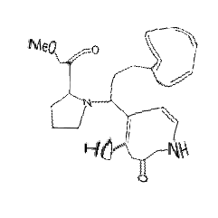 COC(=O)C1CCCN1C(Cc1ccccc1)c1cc[nH]c(=O)c1O